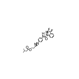 CC(C)CC(=O)OCCc1c2n(-c3ccc(NC(=O)Nc4ccccc4C(F)(F)F)cc3)n1-2